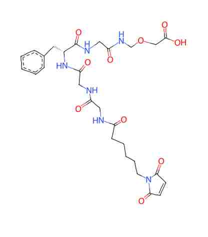 O=C(O)COCNC(=O)CNC(=O)[C@@H](Cc1ccccc1)NC(=O)CNC(=O)CNC(=O)CCCCCN1C(=O)C=CC1=O